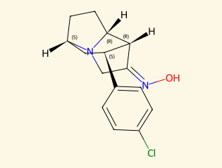 ON=C1CN2[C@H]3CC[C@@H]2[C@H]1[C@@H](c1ccc(Cl)cc1)C3